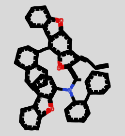 C=C/C=c1\c(=C(/C)N(c2ccccc2-c2ccccc2)c2cccc3c2oc2ccccc23)oc2c(-c3cccc4ccccc34)c3c(cc12)oc1ccccc13